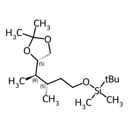 C[C@H]([C@@H](C)CCO[Si](C)(C)C(C)(C)C)[C@H]1COC(C)(C)O1